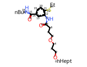 CCCCCCCOCCCOCCCC(=O)Nc1cc(C(=O)NCCCC)ccc1SCC